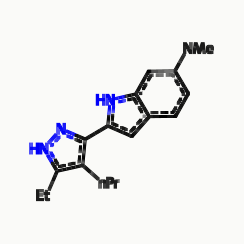 CCCc1c(-c2cc3ccc(NC)cc3[nH]2)n[nH]c1CC